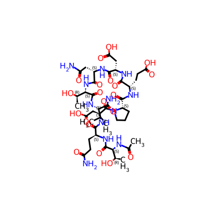 CC(=O)N[C@H](C(=O)N[C@@H](CCC(N)=O)C(=O)N[C@@H](CC(=O)O)C(=O)N1CCC[C@H]1C(=O)N[C@@H](CCC(=O)O)C(=O)N[C@@H](CC(=O)O)C(=O)N[C@@H](CC(N)=O)C(=O)N[C@H](C(=O)N[C@H](C(N)=O)C(C)C)[C@@H](C)O)[C@@H](C)O